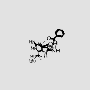 CC(C)(C)NC(=O)[C@@H]1NC(=N)N2C[C@H](OC(=O)c3ccccc3)C(O)(O)C23NC(=N)NC13